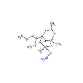 CC1CC2(C)CC(C)(CN)CC(C(CO[N+](=O)[O-])O[N+](=O)[O-])(C1)C2